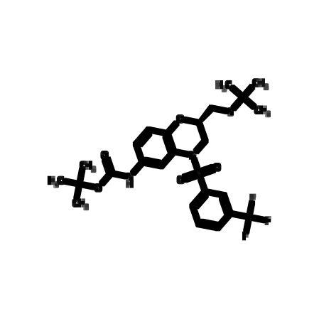 CC(C)(C)OC(=O)Nc1ccc2c(c1)N(S(=O)(=O)c1cccc(C(F)(F)F)c1)C[C@H](CSC(C)(C)C)O2